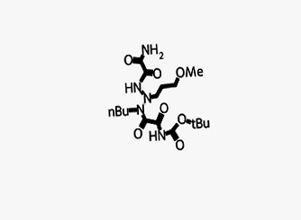 CCCCN(C(=O)C(=O)NC(=O)OC(C)(C)C)N(CCCOC)NC(=O)C(N)=O